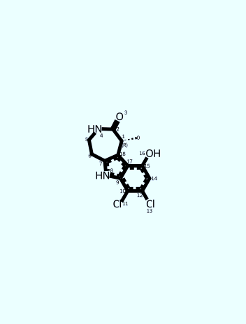 C[C@H]1C(=O)NCCc2[nH]c3c(Cl)c(Cl)cc(O)c3c21